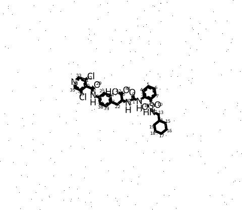 O=C(Nc1ccccc1S(=O)(=O)NCC1CCCCC1)NC(Cc1ccc(NC(=O)c2c(Cl)cncc2Cl)cc1)C(=O)O